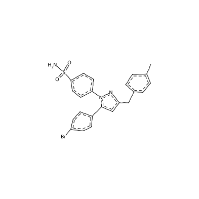 Cc1ccc(Cc2cc(-c3ccc(Br)cc3)n(-c3ccc(S(N)(=O)=O)cc3)n2)cc1